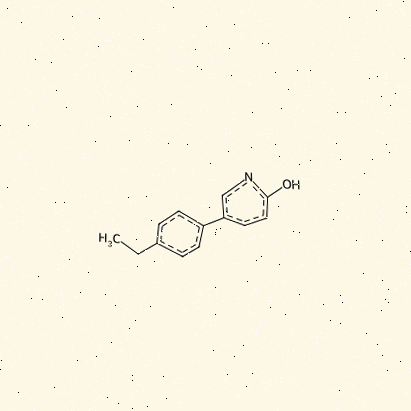 CCc1ccc(-c2ccc(O)nc2)cc1